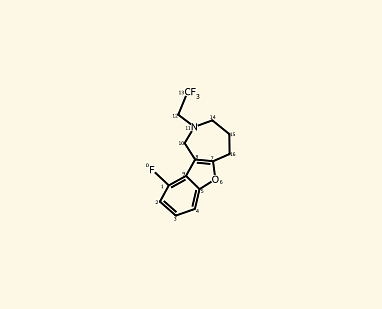 Fc1cccc2oc3c(c12)CN(CC(F)(F)F)CCC3